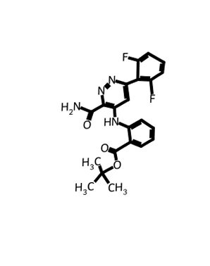 CC(C)(C)OC(=O)c1ccccc1Nc1cc(-c2c(F)cccc2F)nnc1C(N)=O